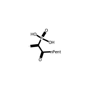 [CH]=C(C(=O)CCCCC)P(=O)(O)O